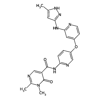 Cc1cc(Nc2cc(Oc3ccc(NC(=O)c4cnc(C)n(C)c4=O)nc3)ccn2)n[nH]1